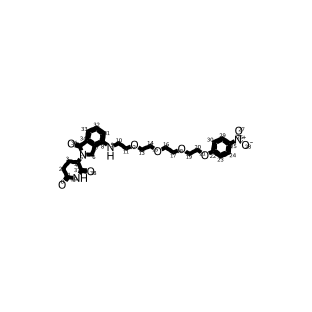 O=C1CCC(N2Cc3c(NCCOCCOCCOCCOc4ccc([N+](=O)[O-])cc4)cccc3C2=O)C(=O)N1